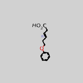 O=C(O)C/C=C/CCOc1ccccc1